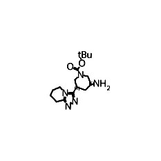 CC(C)(C)OC(=O)N1C[C@@H](N)C[C@@H](c2nnc3n2CCCC3)C1